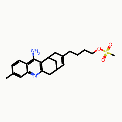 Cc1ccc2c(N)c3c(nc2c1)CC1C=C(CCCCOS(C)(=O)=O)CC3C1